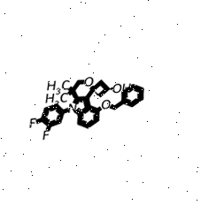 CC1(C)CO[C@]2(C[C@H](O)C2)c2c1n(-c1ccc(F)c(F)c1)c1cccc(OCc3ccccc3)c12